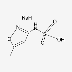 Cc1cc(NS(=O)(=O)O)no1.[NaH]